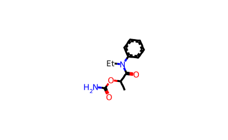 CCN(C(=O)C(C)OC(N)=O)c1ccccc1